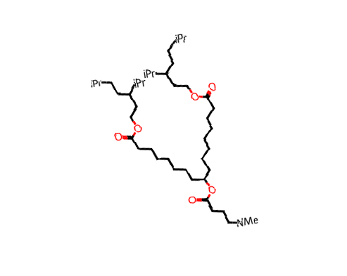 CNCCCC(=O)OC(CCCCCCCC(=O)OCCC(CCC(C)C)C(C)C)CCCCCCCC(=O)OCCC(CCC(C)C)C(C)C